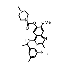 COc1cc2nc(C)nc(NC(C)c3cc(C)cc(N)c3)c2cc1OC(=O)N1CCN(C)CC1